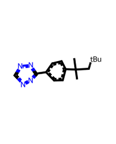 CC(C)(C)CC(C)(C)c1ccc(-c2nncnn2)cc1